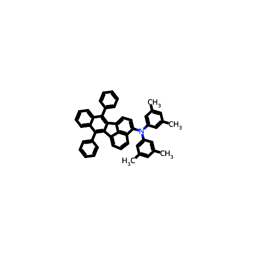 Cc1cc(C)cc(N(c2cc(C)cc(C)c2)c2ccc3c4c(cccc24)-c2c-3c(-c3ccccc3)c3ccccc3c2-c2ccccc2)c1